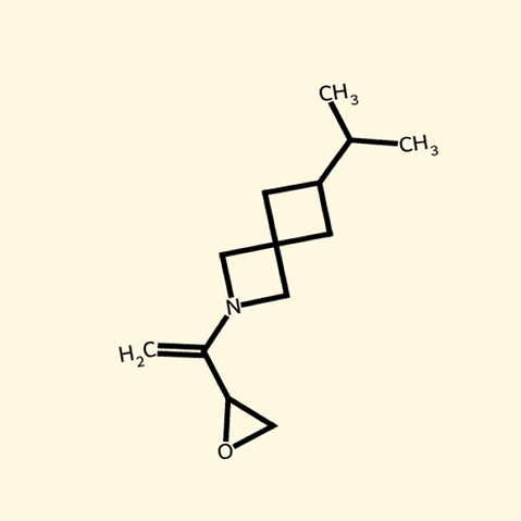 C=C(C1CO1)N1CC2(CC(C(C)C)C2)C1